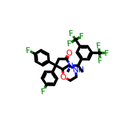 CC(c1cc(C(F)(F)F)cc(C(F)(F)F)c1)N(C)C(=O)CC(c1ccc(F)cc1)(c1ccc(F)cc1)C1CNCCO1